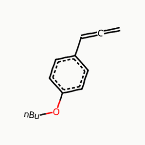 C=C=Cc1ccc(OCCCC)cc1